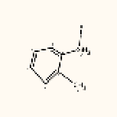 Cc1ccccc1[SiH2]I